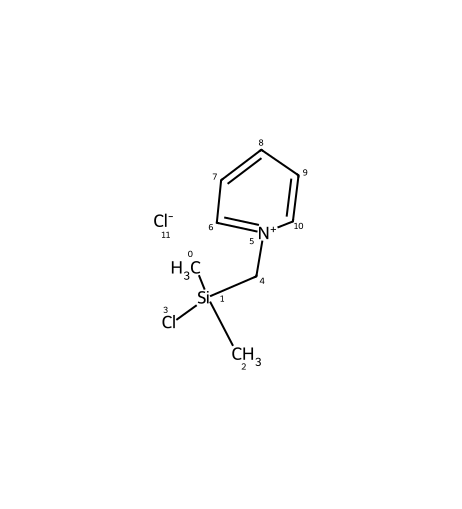 C[Si](C)(Cl)C[n+]1ccccc1.[Cl-]